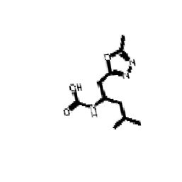 Cc1nnc(CC(CC(C)C)NC(=O)O)o1